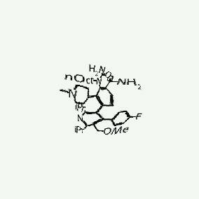 CCCCCCCCN(C(N)=O)c1c(C(N)=O)ccc(-c2c(C(C)C)nc(C(C)C)c(COC)c2-c2ccc(F)cc2)c1C1CCN(C)CC1